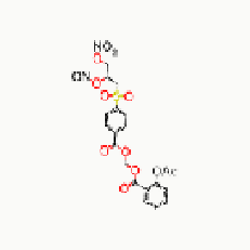 CC(=O)Oc1ccccc1C(=O)OCOC(=O)c1ccc(S(=O)(=O)CC(CO[N+](=O)[O-])ON=O)cc1